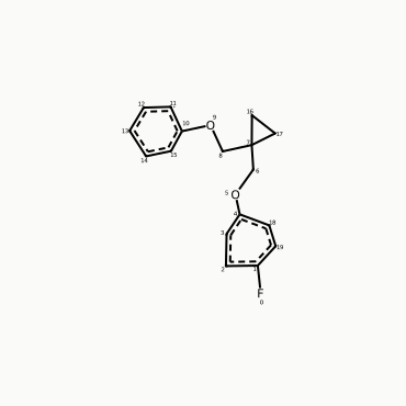 Fc1ccc(OCC2(COc3[c]cccc3)CC2)cc1